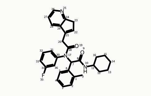 Cc1ccccc1C(C(=O)NC1CCCCC1)N(C(=O)CC1=CCc2ncccc21)c1cccc(F)c1